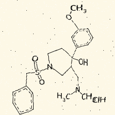 COc1cccc(C2(O)CCN(S(=O)(=O)Cc3ccccc3)CC2CN(C)C)c1.Cl